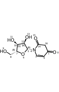 O=C1C=CN([C@@H]2O[C@H](CO)[C@@H](O)[C@H]2O)C(=O)C1